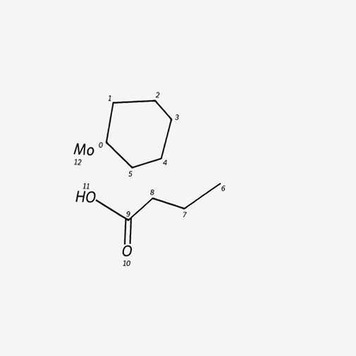 C1CCCCC1.CCCC(=O)O.[Mo]